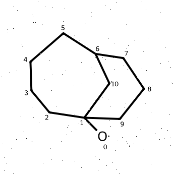 [O]C12CCCCC(CCC1)C2